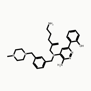 C=C(CCCN)CN(Cc1cccc(CN2CCN(C)CC2)c1)c1cc(-c2ccccc2O)nnc1N